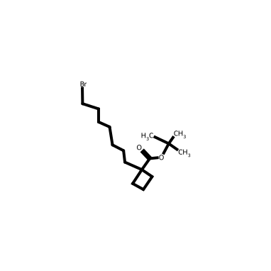 CC(C)(C)OC(=O)C1(CCCCCCCBr)CCC1